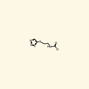 [O]C(=O)NCCSc1cnns1